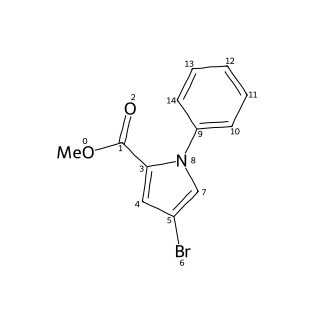 COC(=O)c1cc(Br)cn1-c1ccccc1